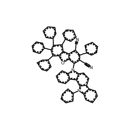 N#Cc1c(-c2ccccc2)c(C#N)c2c(oc3c(-c4ccccc4)c(-c4ccccc4)c(-c4ccccc4)c(-c4ccccc4)c32)c1-n1c2ccccc2c2c1ccc1c3ccccc3n(-c3ccccc3)c12